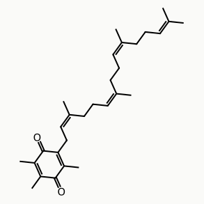 CC(C)=CCCC(C)=CCCC(C)=CCCC(C)=CCC1=C(C)C(=O)C(C)=C(C)C1=O